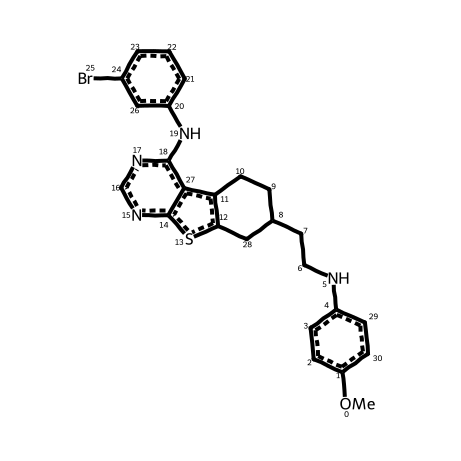 COc1ccc(NCCC2CCc3c(sc4ncnc(Nc5cccc(Br)c5)c34)C2)cc1